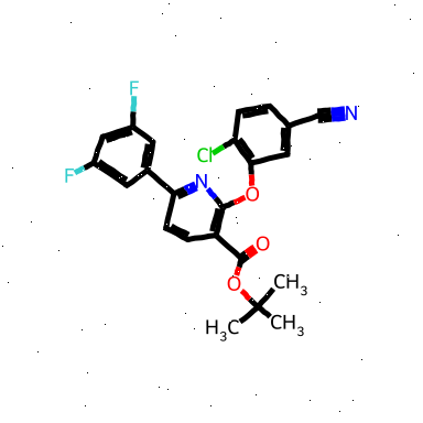 CC(C)(C)OC(=O)c1ccc(-c2cc(F)cc(F)c2)nc1Oc1cc(C#N)ccc1Cl